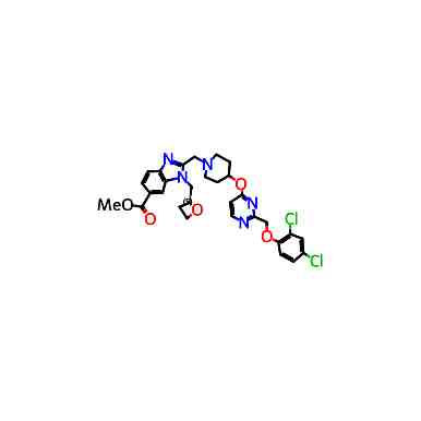 COC(=O)c1ccc2nc(CN3CCC(Oc4ccnc(COc5ccc(Cl)cc5Cl)n4)CC3)n(C[C@@H]3CCO3)c2c1